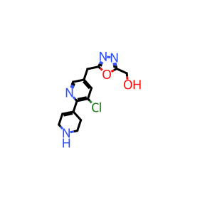 OCc1nnc(Cc2cnc(C3=CCNCC3)c(Cl)c2)o1